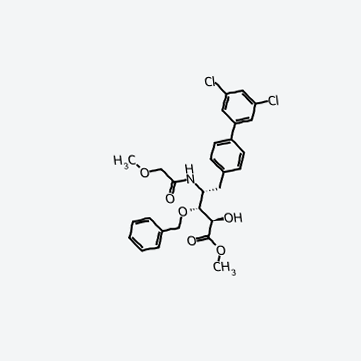 COCC(=O)N[C@H](Cc1ccc(-c2cc(Cl)cc(Cl)c2)cc1)[C@@H](OCc1ccccc1)[C@@H](O)C(=O)OC